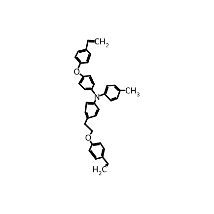 C=Cc1ccc(OCCc2ccc(N(c3ccc(C)cc3)c3ccc(Oc4ccc(C=C)cc4)cc3)cc2)cc1